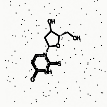 O=c1ccn([C@@H]2CC(O)[C@H](CO)O2)c(=S)[nH]1